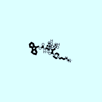 [N-]=[N+]=NCCCN1CCN(C(=O)C(CS(=O)(=O)O)NC(=O)[C@H](CS(=O)(=O)O)NC(=O)OCC2c3ccccc3-c3ccccc32)CC1